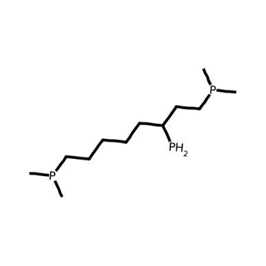 CP(C)CCCCCC(P)CCP(C)C